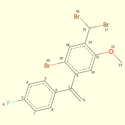 C=C(c1ccc(F)cc1)c1cc(OC)c(C(Br)Br)cc1Br